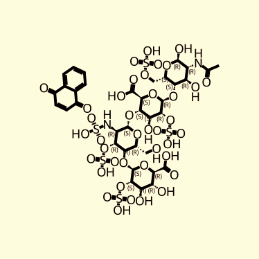 CC(=O)N[C@@H]1[C@@H](O)[C@H](O[C@@H]2O[C@H](C(=O)O)[C@@H](O[C@@H]3O[C@H](CO)[C@@H](O[C@H]4O[C@@H](C(=O)O)[C@H](O)[C@@H](O)[C@@H]4OS(=O)(=O)O)[C@H](OS(=O)(=O)O)[C@H]3NS(=O)(=O)O)[C@H](O)[C@H]2OS(=O)(=O)O)[C@H](COS(=O)(=O)O)O[C@H]1O.O=C1C=CC(=O)c2ccccc21